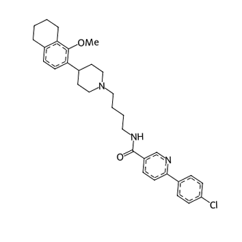 COc1c(C2CCN(CCCCNC(=O)c3ccc(-c4ccc(Cl)cc4)nc3)CC2)ccc2c1CCCC2